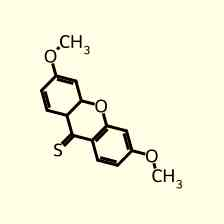 COC1=CC2Oc3cc(OC)ccc3C(=S)C2C=C1